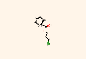 O=C(OCCCBr)c1cccc(I)c1